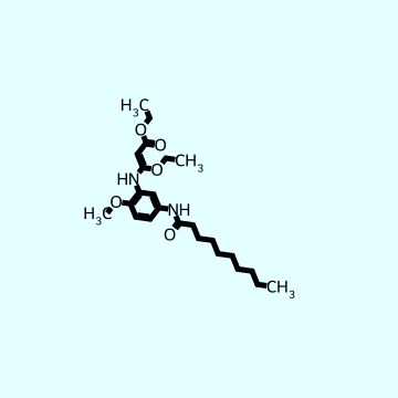 CCCCCCCCCC(=O)Nc1ccc(OC)c(N/C(=C/C(=O)OCC)OCC)c1